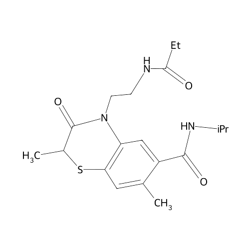 CCC(=O)NCCN1C(=O)C(C)Sc2cc(C)c(C(=O)NC(C)C)cc21